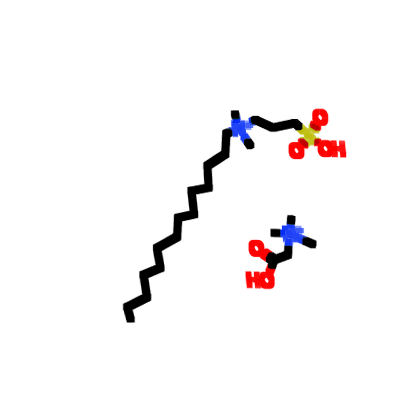 CCCCCCCCCCCCCC[N+](C)(C)CCCS(=O)(=O)O.C[N+](C)(C)CC(=O)O